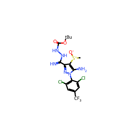 C[S+]([O-])c1c(C(=N)NNC(=O)OC(C)(C)C)nn(-c2c(Cl)cc(C(F)(F)F)cc2Cl)c1N